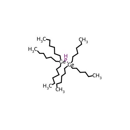 CCCCC[CH2][Ge]([CH2]CCCCC)([CH2]CCCCC)[PH][Ge]([CH2]CCCCC)([CH2]CCCCC)[CH2]CCCCC